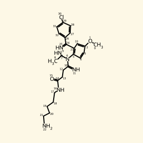 COc1ccc(N(C(C)=N)C(=N)CCC(=O)NCCCCCN)c(C(=N)c2ccc(Cl)cc2)c1